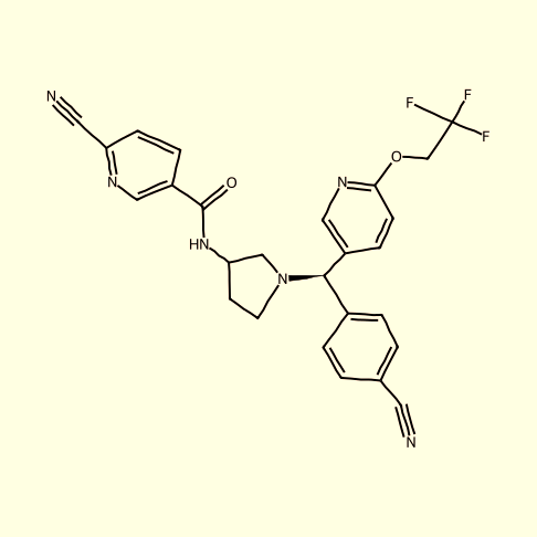 N#Cc1ccc([C@H](c2ccc(OCC(F)(F)F)nc2)N2CCC(NC(=O)c3ccc(C#N)nc3)C2)cc1